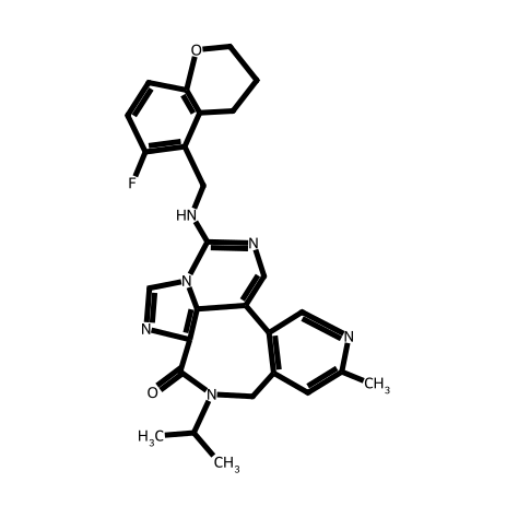 Cc1cc2c(cn1)-c1cnc(NCc3c(F)ccc4c3CCCO4)n3cnc(c13)C(=O)N(C(C)C)C2